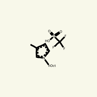 CCCCCCCCn1ccc(C)c1.O=S(=O)(O)C(F)(F)F